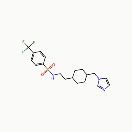 O=S(=O)(NCCC1CCC(Cn2ccnc2)CC1)c1ccc(C(F)(F)F)cc1